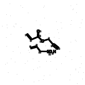 C#CCOC(=O)C=C.C=CCS(=O)(=O)O